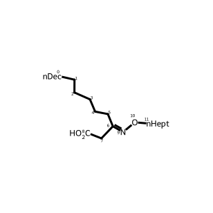 CCCCCCCCCCCCCCC/C(CC(=O)O)=N\OCCCCCCC